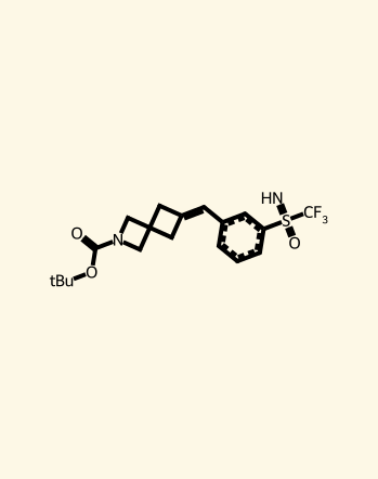 CC(C)(C)OC(=O)N1CC2(CC(=Cc3cccc(S(=N)(=O)C(F)(F)F)c3)C2)C1